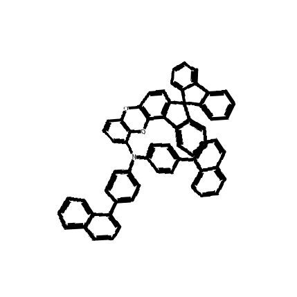 c1ccc2c(c1)-c1ccccc1C21c2ccccc2-c2c1ccc1c2Oc2c(cccc2N(c2ccc(-c3cccc4ccccc34)cc2)c2ccc(-c3cccc4ccccc34)cc2)O1